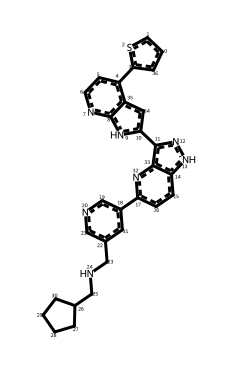 c1csc(-c2ccnc3[nH]c(-c4n[nH]c5ccc(-c6cncc(CNCC7CCCC7)c6)nc45)cc23)c1